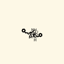 CC(C)[C@H](NC(=O)Cc1ccccc1)C(=O)N1C(=O)N(CCCc2ccccc2)CC1C(N)=O